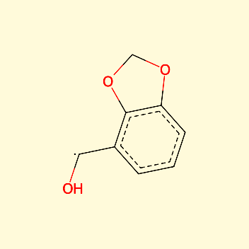 O[CH]c1cccc2c1OCO2